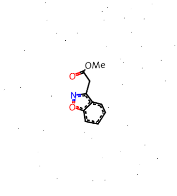 COC(=O)Cc1noc2ccccc12